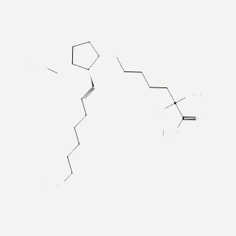 CCCCCCC=C[C@@H]1[C@@H](CCCCCC(O)(O)C(=O)O)CC[C@H]1CO